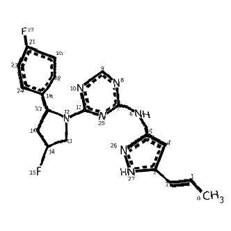 C/C=C/c1cc(Nc2ncnc(N3CC(F)CC3c3ccc(F)cc3)n2)n[nH]1